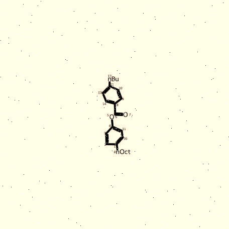 CCCCCCCCc1ccc(OC(=O)c2ccc(CCCC)cc2)cc1